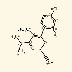 C#CCO/C(=C(/C(=O)OCC)C(=O)N(C)C)c1ccc(Cl)cc1C(F)(F)F